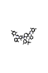 CC1=CC(C)[C@@H](/C=C/c2[nH]c(/C(=C3\CCC=C(/C=C/c4c(C)cc(C)cc4C)C(c4ccccc4C)=C3C)c3cc(C)cc(C(F)(F)F)c3)c(C)c2-c2ccccc2C)C(C)=C1